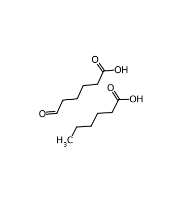 CCCCCC(=O)O.O=CCCCCC(=O)O